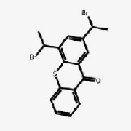 CC(Br)c1cc(C(C)Br)c2sc3ccccc3c(=O)c2c1